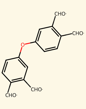 O=[C]c1ccc(Oc2ccc([C]=O)c([C]=O)c2)cc1[C]=O